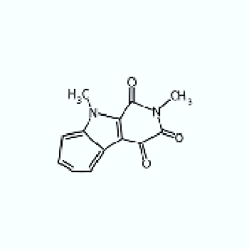 CN1C(=O)C(=O)c2c(n(C)c3ccccc23)C1=O